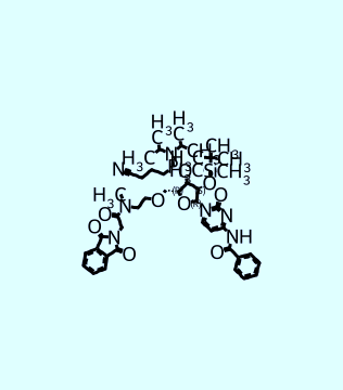 CC(C)N(C(C)C)P(CCCC#N)OC1[C@@H](COCCN(C)C(=O)CN2C(=O)c3ccccc3C2=O)O[C@@H](n2ccc(NC(=O)c3ccccc3)nc2=O)[C@H]1O[Si](C)(C)C(C)(C)C